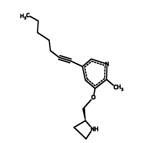 CCCCCC#Cc1cnc(C)c(OC[C@@H]2CCN2)c1